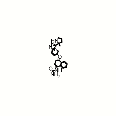 CC1(c2nnc3ccc(O[C@@H]4CC[C@H](NC(N)=O)c5ccccc54)cn23)CCCN1